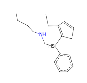 CCCCNC[SiH](C1=C(CC)C=CC1)c1ccccc1